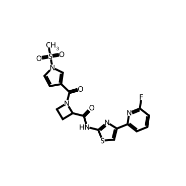 CS(=O)(=O)n1ccc(C(=O)N2CCC2C(=O)Nc2nc(-c3cccc(F)n3)cs2)c1